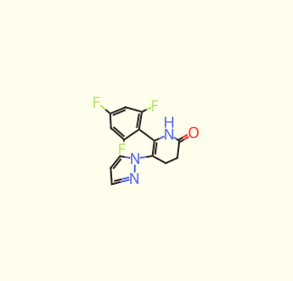 O=C1CCC(n2cccn2)=C(c2c(F)cc(F)cc2F)N1